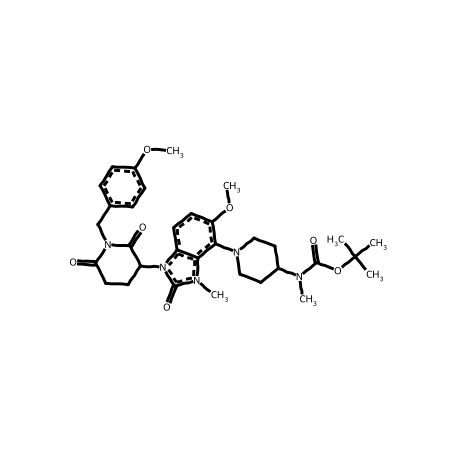 COc1ccc(CN2C(=O)CCC(n3c(=O)n(C)c4c(N5CCC(N(C)C(=O)OC(C)(C)C)CC5)c(OC)ccc43)C2=O)cc1